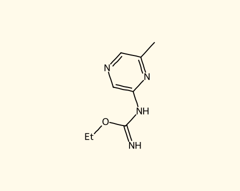 CCOC(=N)Nc1cncc(C)n1